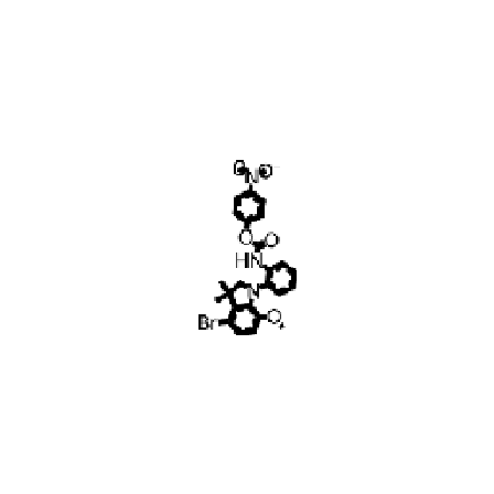 COc1ccc(Br)c2c1N(c1ccccc1NC(=O)Oc1ccc([N+](=O)[O-])cc1)CC2(C)C